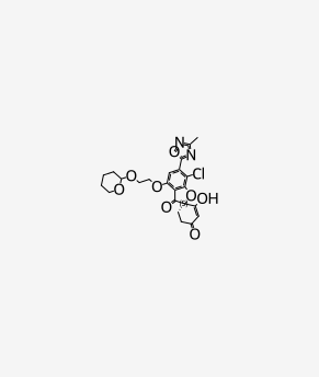 Cc1noc(-c2cc(OCCOC3CCCCO3)c3c(c2Cl)O[C@]2(CCC(=O)C=C2O)C3=O)n1